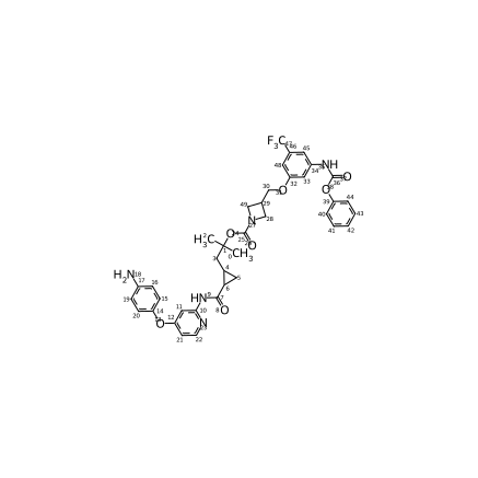 CC(C)(CC1CC1C(=O)Nc1cc(Oc2ccc(N)cc2)ccn1)OC(=O)N1CC(COc2cc(NC(=O)Oc3ccccc3)cc(C(F)(F)F)c2)C1